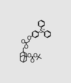 CC(C)(C)OC(=O)OC12CC3CC(CC(COC(=O)COc4ccc([S+](c5ccccc5)c5ccccc5)cc4)(C3)C1)C2